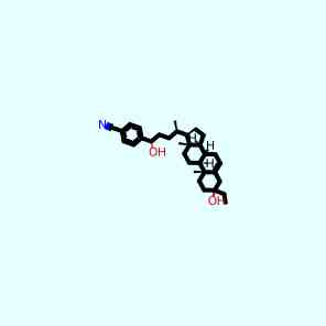 CC[C@]1(O)CC[C@@]2(C)C(=CC[C@H]3[C@@H]4CC[C@H]([C@H](C)CC[C@H](O)c5ccc(C#N)cc5)[C@@]4(C)CC[C@@H]32)C1